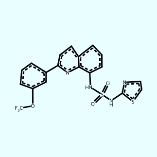 O=S(=O)(Nc1nccs1)Nc1cccc2ccc(-c3cccc(OC(F)(F)F)c3)nc12